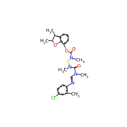 Cc1cc(Cl)ccc1N=CN(C)C(=O)N(C)SN(C)C(=O)Oc1cccc2c1OC(C)C2C